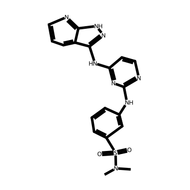 CN(C)S(=O)(=O)c1cccc(Nc2nccc(Nc3n[nH]c4ncccc34)n2)c1